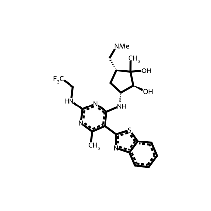 CNC[C@H]1C[C@@H](Nc2nc(NCC(F)(F)F)nc(C)c2-c2nc3ccccc3s2)[C@H](O)C1(C)O